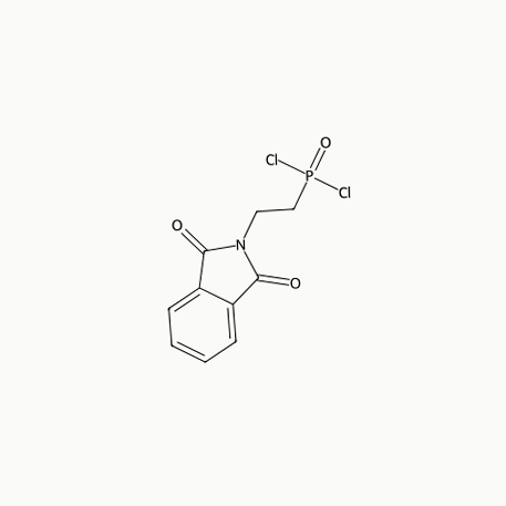 O=C1c2ccccc2C(=O)N1CCP(=O)(Cl)Cl